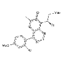 CC[C@H](COC)n1c(=O)c(C)nc2c(-c3ccc(OC)cc3Cl)ncnc21